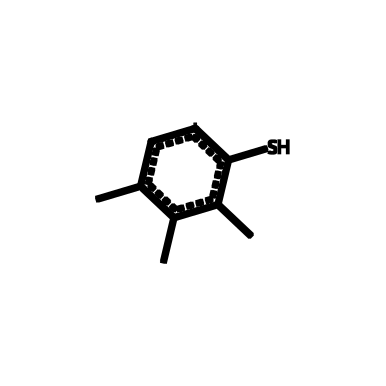 Cc1c[c]c(S)c(C)c1C